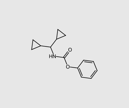 O=C(NC(C1CC1)C1CC1)Oc1ccccc1